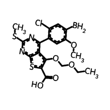 Bc1cc(Cl)c(-c2nc(SC)nc3sc(C(=O)O)c(OCOCC)c23)cc1OC